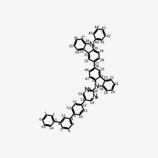 c1ccc(-c2cccc(-c3ccc(-c4cnc(-n5c6ccccc6c6cc(-c7ccc8c(c7)c7ccccc7n8-c7ccccc7)ccc65)nc4)cc3)c2)cc1